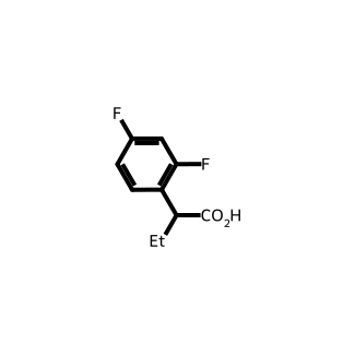 CCC(C(=O)O)c1ccc(F)cc1F